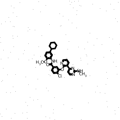 CNc1nccc(-c2cccnc2Oc2cc(C(=O)Nc3cc(C4CCCCC4)ccc3OC)ccc2Cl)n1